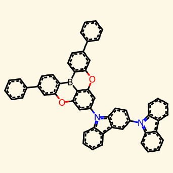 c1ccc(-c2ccc3c(c2)Oc2cc(-n4c5ccccc5c5cc(-n6c7ccccc7c7ccccc76)ccc54)cc4c2B3c2ccc(-c3ccccc3)cc2O4)cc1